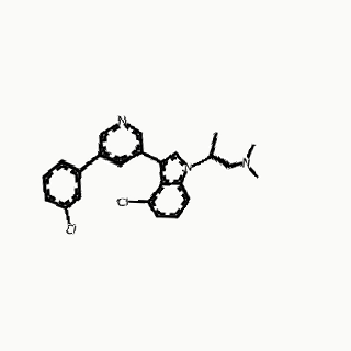 CC(CN(C)C)n1cc(-c2cncc(-c3cccc(Cl)c3)c2)c2c(Cl)cccc21